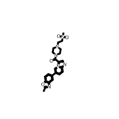 Cc1nc2cc(-c3ccc4ncc(C(=O)N5CCN(CCS(C)(=O)=O)CC5)n4c3)ccc2o1